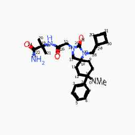 CNC1(c2ccccc2)CCC2(CC1)CN(CC(=O)NC(C)(C)C(N)=O)C(=O)N2CC1CCC1